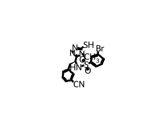 Cn1c(S)nnc1[C@H](Cc1cccc(C#N)c1)NS(=O)(=O)c1cccc(Br)c1